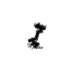 CN[C@@H](C)C(=O)N[C@H](C(=O)N1C[C@@H](O)C[C@H]1CN(CCc1ccccc1)C(=O)CNC(=O)c1ccc(-c2ccc(C(=O)NCC(=O)N(CCc3ccccc3)C[C@@H]3C[C@H](O)CN3C(=O)[C@@H](NC(=O)C(C)C)C3CCCCC3)cc2)cc1)C1CCCCC1